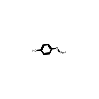 [CH2]CCC(C)Oc1ccc(O)cc1